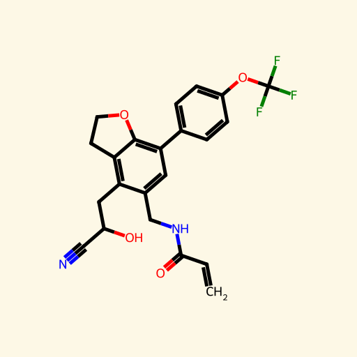 C=CC(=O)NCc1cc(-c2ccc(OC(F)(F)F)cc2)c2c(c1CC(O)C#N)CCO2